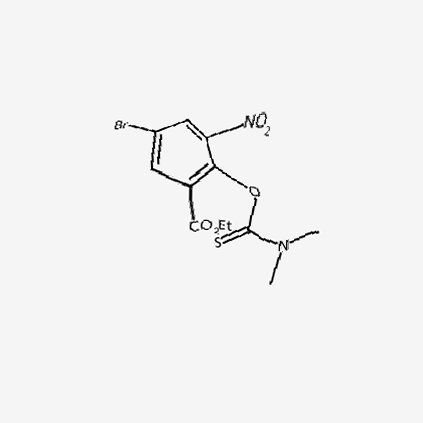 CCOC(=O)c1cc(Br)cc([N+](=O)[O-])c1OC(=S)N(C)C